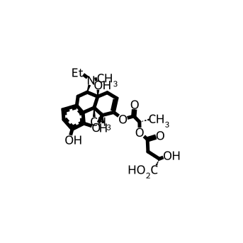 CCN(C)[C@@H]1Cc2ccc(O)c3c2[C@@]2(C)[C@@H](O3)C(OC(=O)[C@H](C)OC(=O)C[C@H](O)C(=O)O)=CC[C@@]12O